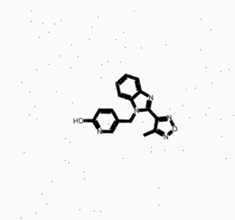 Cc1nonc1-c1nc2ccccc2n1Cc1ccc(O)nc1